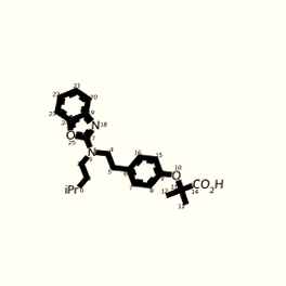 CC(C)CCN(CCc1ccc(OC(C)(C)C(=O)O)cc1)c1nc2ccccc2o1